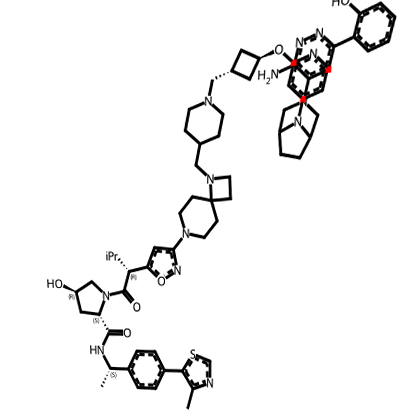 Cc1ncsc1-c1ccc([C@H](C)NC(=O)[C@@H]2C[C@@H](O)CN2C(=O)[C@@H](c2cc(N3CCC4(CC3)CCN4CC3CCN(C[C@H]4C[C@H](Oc5cc(N6C7CCC6CN(c6cc(-c8ccccc8O)nnc6N)C7)ccn5)C4)CC3)no2)C(C)C)cc1